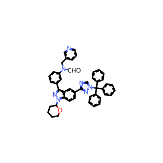 O=CN(Cc1cccnc1)c1cccc(-c2nn(C3CCCCO3)c3ccc(-c4ncn(C(c5ccccc5)(c5ccccc5)c5ccccc5)n4)cc23)c1